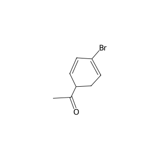 CC(=O)C1C=CC(Br)=CC1